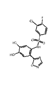 O=S(=O)(Nc1cc(O)c(O)cc1-c1ncno1)c1ccc(F)c(Cl)c1